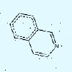 [C]1=Cc2ccccc2C=[N+]1